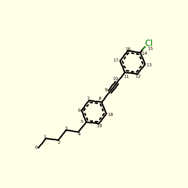 CCCCCc1ccc(C#Cc2ccc(Cl)cc2)cc1